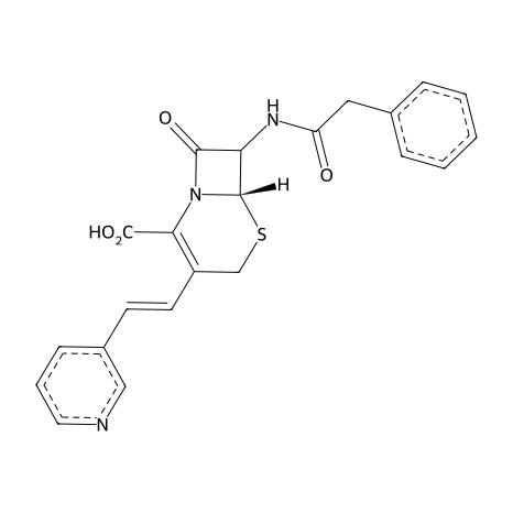 O=C(Cc1ccccc1)NC1C(=O)N2C(C(=O)O)=C(C=Cc3cccnc3)CS[C@@H]12